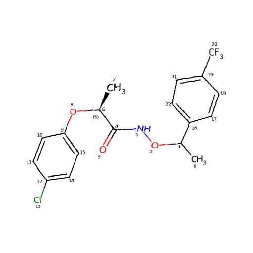 CC(ONC(=O)[C@H](C)Oc1ccc(Cl)cc1)c1ccc(C(F)(F)F)cc1